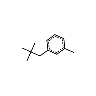 [CH2]C(C)(C)Cc1cccc(C)c1